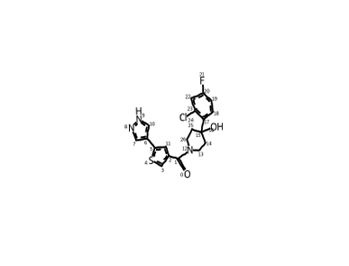 O=C(c1csc(-c2cn[nH]c2)c1)N1CCC(O)(c2ccc(F)cc2Cl)CC1